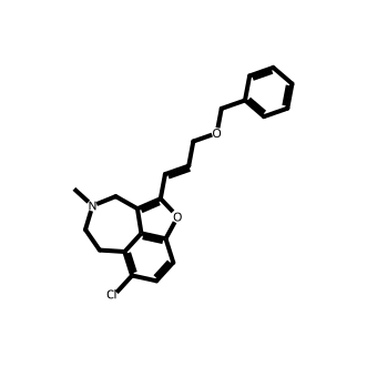 CN1CCc2c(Cl)ccc3oc(C=CCOCc4ccccc4)c(c23)C1